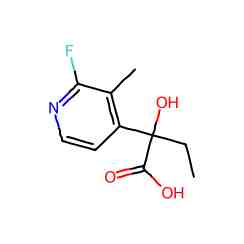 CCC(O)(C(=O)O)c1ccnc(F)c1C